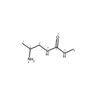 CNC(=O)NCC(C)N